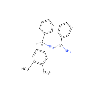 C[C@@H](N)c1ccccc1.C[C@@H](N)c1ccccc1.O=C(O)c1ccccc1C(=O)O